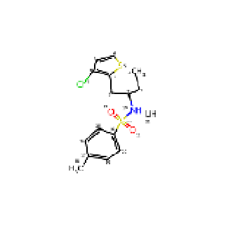 CCC(Cc1sccc1Cl)NS(=O)(=O)c1ccc(C)cc1.[LiH]